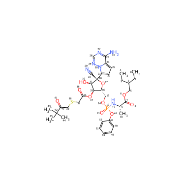 CCC(CC)COC(=O)[C@H](C)N[P@](=O)(OC[C@H]1O[C@@](C#N)(c2ccc3c(N)ncnn23)[C@H](O)[C@@H]1OC(=O)CSCC(=O)C(C)(C)C)Oc1ccccc1